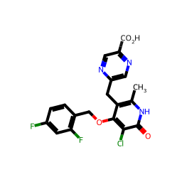 Cc1[nH]c(=O)c(Cl)c(OCc2ccc(F)cc2F)c1Cc1cnc(C(=O)O)cn1